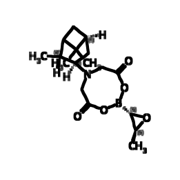 C[C@@H]1O[C@H]1B1OC(=O)CN([C@@H]2C[C@@H]3CC([C@H]2C)C3(C)C)CC(=O)O1